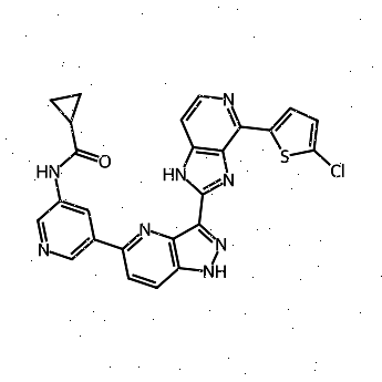 O=C(Nc1cncc(-c2ccc3[nH]nc(-c4nc5c(-c6ccc(Cl)s6)nccc5[nH]4)c3n2)c1)C1CC1